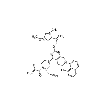 C=C(F)C(=O)N1CCN(c2nc(OC[C@H](C)C3C[C@@H](OC)CN3C)nc3c2CCN(c2cccc4cccc(Cl)c24)C3)C[C@@H]1CC#N